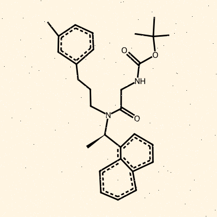 Cc1cccc(CCCN(C(=O)CNC(=O)OC(C)(C)C)[C@H](C)c2cccc3ccccc23)c1